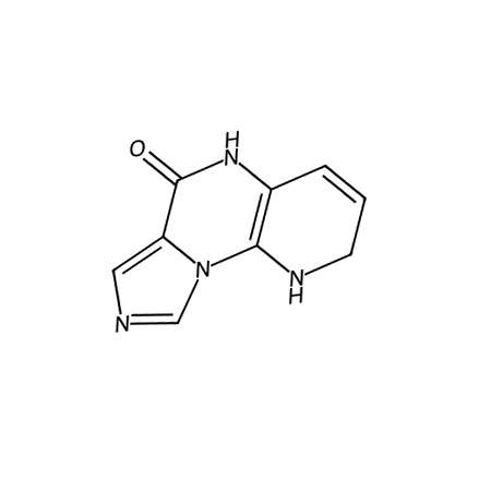 O=c1[nH]c2c(n3cncc13)NCC=C2